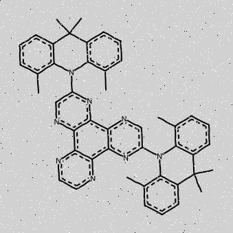 Cc1cccc2c1N(c1cnc3c4nccnc4c4nc(N5c6c(C)cccc6C(C)(C)c6cccc(C)c65)cnc4c3n1)c1c(C)cccc1C2(C)C